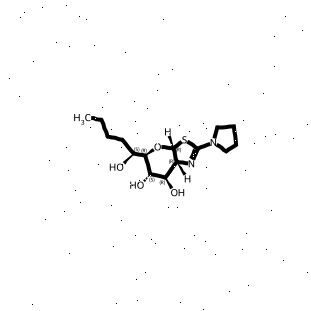 CCCC[C@H](O)[C@H]1O[C@@H]2SC(N3CCCC3)=N[C@@H]2[C@@H](O)[C@@H]1O